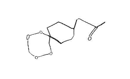 CC(=O)CC1CCC2(CC1)OOCOO2